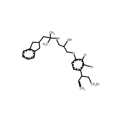 C=CC(CC(=O)OCC)c1ccc(OCC(O)CNC(C)(C)CC2Cc3ccccc3C2)c(Cl)c1Cl